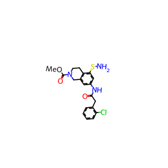 COC(=O)N1CCc2c(cc(NC(=O)Cc3ccccc3Cl)cc2SN)C1